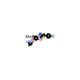 COc1cc(-n2cnc3cc(-c4ccc(Cl)cc4)sc3c2=O)ccc1OC[C@@H]1C[C@H](F)CN1